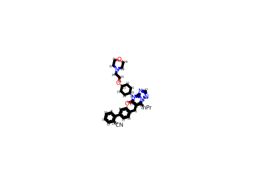 CCCc1c(Cc2ccc(-c3ccccc3C#N)cc2)c(=O)n([C@H]2CC[C@H](OCCN3CCOCC3)CC2)c2ncnn12